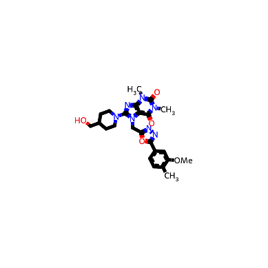 COc1cc(-c2nnc(Cn3c(N4CCC(CO)CC4)nc4c3c(=O)n(C)c(=O)n4C)o2)ccc1C